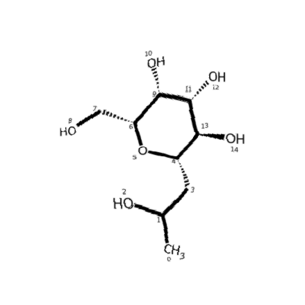 CC(O)C[C@@H]1O[C@H](CO)[C@H](O)[C@H](O)[C@H]1O